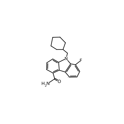 NC(=O)c1cccc2c1c1[c]ccc(F)c1n2CC1CCCCC1